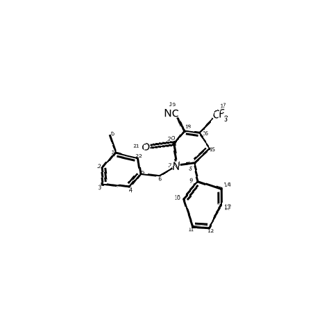 Cc1cccc(Cn2c(-c3ccccc3)cc(C(F)(F)F)c(C#N)c2=O)c1